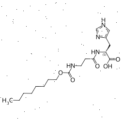 CCCCCCCCOC(=O)NCCC(=O)N[C@@H](Cc1c[nH]cn1)C(=O)O